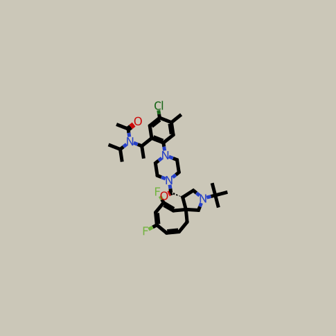 CC(=O)N(C(C)C)C(C)c1cc(Cl)c(C)cc1N1CCN(C(=O)[C@@H]2CN(C(C)(C)C)CC23/C=C(F)/C=C(F)\C=C/C3)CC1